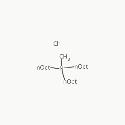 CCCCCCCC[N+](C)(CCCCCCCC)CCCCCCCC.[Cl-]